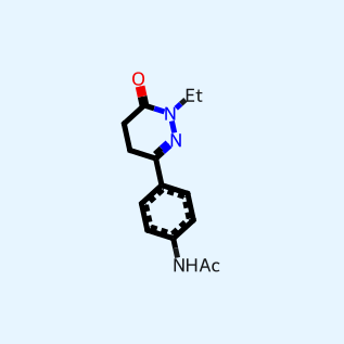 CCN1N=C(c2ccc(NC(C)=O)cc2)CCC1=O